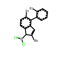 CCc1ccccc1-c1c(CC)ccc2c1C=C(C(C)CC)[CH]2[Zr]([Cl])[Cl]